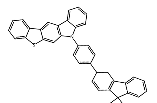 CC1(C)C2=C(CC(c3ccc(-n4c5ccccc5c5cc6c(cc54)sc4ccccc46)cc3)C=C2)c2ccccc21